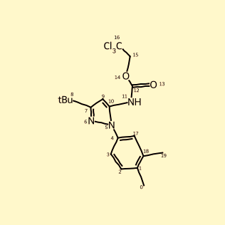 Cc1ccc(-n2nc(C(C)(C)C)cc2NC(=O)OCC(Cl)(Cl)Cl)cc1C